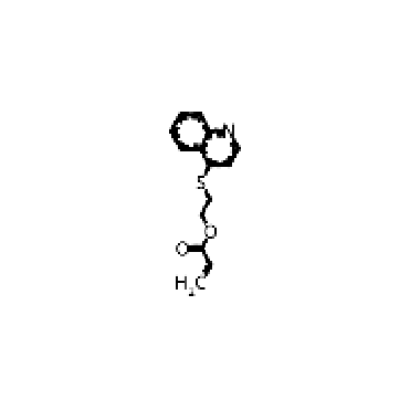 C=CC(=O)OCCSc1ccnc2ccccc12